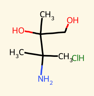 CC(C)(N)C(C)(O)CO.Cl